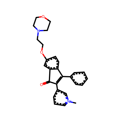 C[n+]1cccc(C2=C(c3ccccc3)c3ccc(OCCN4CCOCC4)cc3C2=O)c1